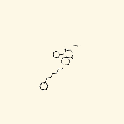 CC(C)C[C@@H]1NC(=O)C2(CCN(CCCCCCc3ccccc3)CC2)N(C2CCCC2)C1=O